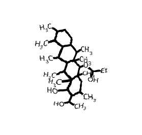 CCC(O)OC1C2(C)C(C)C3CCC(C)C(C)C3C(C)C2C(C)C2(C)C(O)C(C(C)O)C(C)CC12C